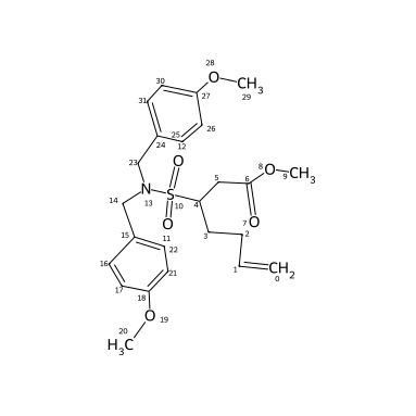 C=CCCC(CC(=O)OC)S(=O)(=O)N(Cc1ccc(OC)cc1)Cc1ccc(OC)cc1